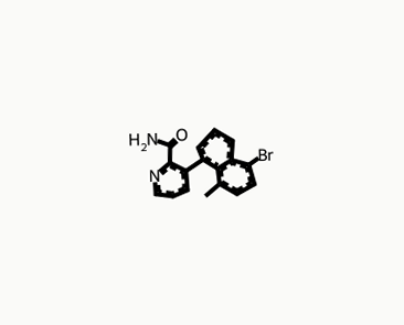 Cc1ccc(Br)c2cccc(-c3cccnc3C(N)=O)c12